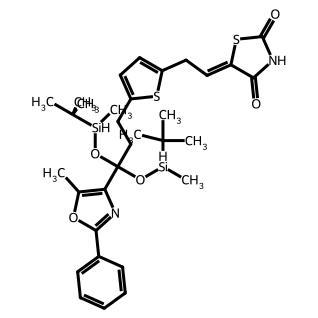 Cc1oc(-c2ccccc2)nc1C(CCc1ccc(CC=C2SC(=O)NC2=O)s1)(O[SiH](C)C(C)(C)C)O[SiH](C)C(C)(C)C